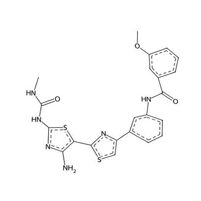 CNC(=O)Nc1nc(N)c(-c2nc(-c3cccc(NC(=O)c4cccc(OC)c4)c3)cs2)s1